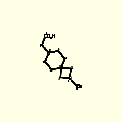 CC(C)(C)N1CC2(CCN(CC(=O)O)CC2)C1